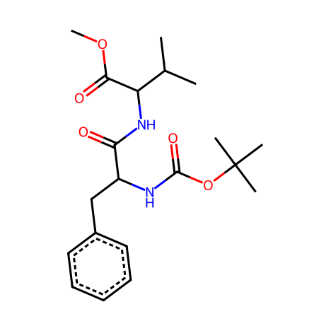 COC(=O)C(NC(=O)C(Cc1ccccc1)NC(=O)OC(C)(C)C)C(C)C